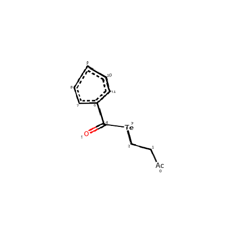 CC(=O)CC[Te]C(=O)c1ccccc1